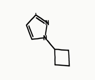 [c]1ccn(C2CCC2)n1